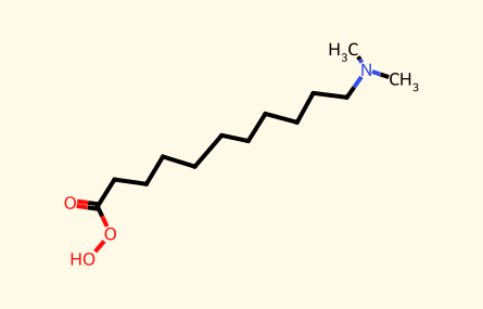 CN(C)CCCCCCCCCCC(=O)OO